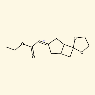 CCOC(=O)/C=C1\CC2CC3(OCCO3)C2C1